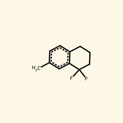 Cc1ccc2c(c1)C(F)(F)CCC2